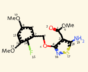 COC(=O)c1c(OCc2cc(OC)cc(OC)c2F)nsc1N